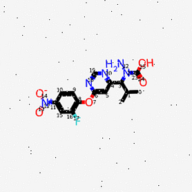 C[C](C)C(c1cc(Oc2ccc([N+](=O)[O-])cc2F)ncn1)N(N)C(=O)O